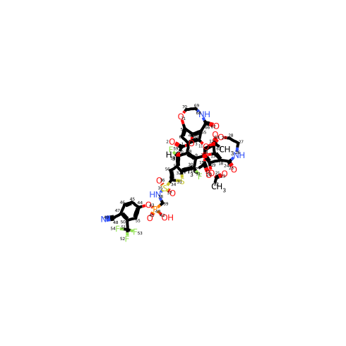 CC(=O)Oc1c2cc(-c3c(-c4cc5c(OC(C)=O)c(c4OC(C)=O)C(=O)NCCO5)c(F)c4sc(S(=O)(=O)NCP(=O)(O)Oc5ccc(C#N)c(C(F)(F)F)c5)cc4c3F)c(OC(C)=O)c1C(=O)NCCO2